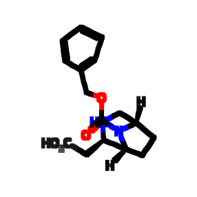 O=C(O)C[C@H]1NC[C@@H]2CC[C@H]1N2C(=O)OCc1ccccc1